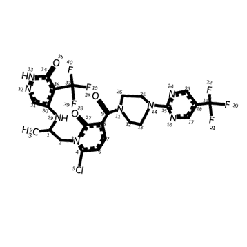 CC(Cn1c(Cl)ccc(C(=O)N2CCN(c3ncc(C(F)(F)F)cn3)CC2)c1=O)Nc1cn[nH]c(=O)c1C(F)(F)F